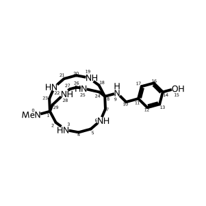 CNC12CNCCNCC(NCc3ccc(O)cc3)(CNCCNC1)CNCCNC2